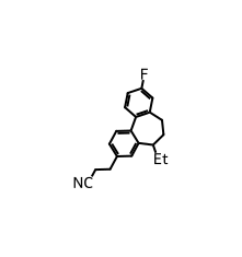 CCC1CCc2cc(F)ccc2-c2ccc(CCC#N)cc21